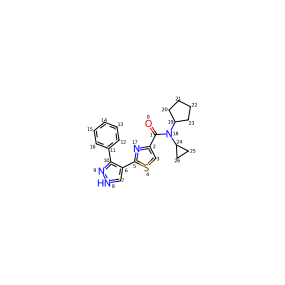 O=C(c1csc(-c2c[nH]nc2-c2ccccc2)n1)N(C1CCCC1)C1CC1